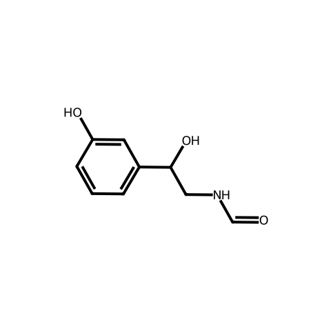 O=CNCC(O)c1cccc(O)c1